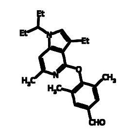 CCc1cn(C(CC)CC)c2cc(C)nc(Oc3c(C)cc(C=O)cc3C)c12